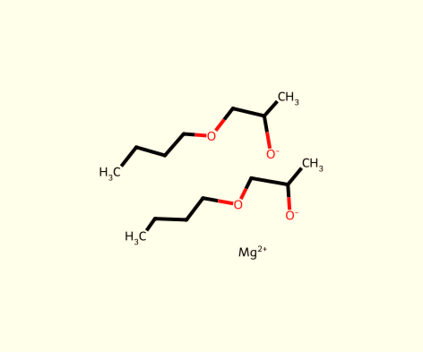 CCCCOCC(C)[O-].CCCCOCC(C)[O-].[Mg+2]